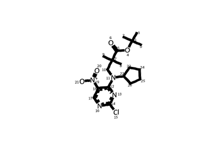 CC(C)(C)OC(=O)C(C)(C)CN(c1nc(Cl)ncc1[N+](=O)[O-])C1CCCC1